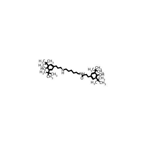 CC(C)(C)c1cc(CCCNCCCCCCNC(=O)CCc2cc(C(C)(C)C)c(O)c(C(C)(C)C)c2)cc(C(C)(C)C)c1O